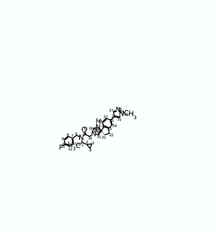 C[C@H](C1CC1)N(Cc1ccc(F)cc1)C(=O)CN1C2N[C@]3(CCc4cc(-c5cnn(C)c5)ccc43)C1O2